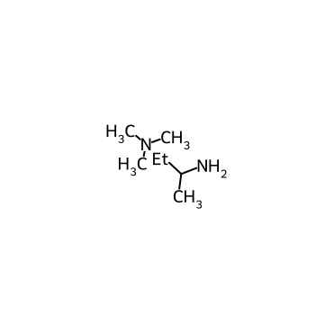 CCC(C)N.CN(C)C